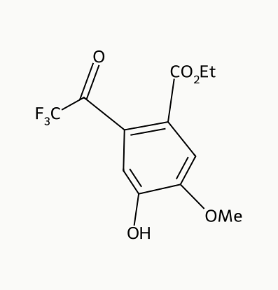 CCOC(=O)c1cc(OC)c(O)cc1C(=O)C(F)(F)F